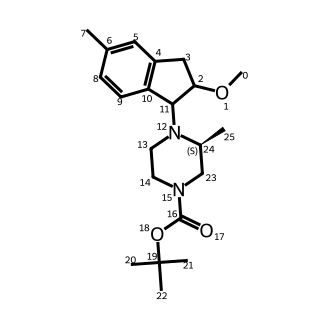 COC1Cc2cc(C)ccc2C1N1CCN(C(=O)OC(C)(C)C)C[C@@H]1C